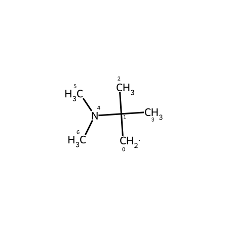 [CH2]C(C)(C)N(C)C